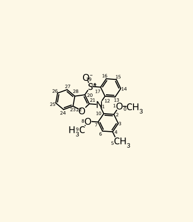 COc1cc(C)cc(OC)c1N1c2ccccc2[S+]([O-])c2c1oc1ccccc21